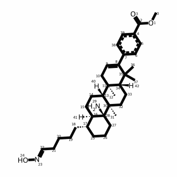 COC(=O)c1ccc(C2=CC[C@]3(C)[C@H]4CC[C@@H]5[C@@H](CCCC/C=N/O)CCC[C@@]5(N)[C@]4(C)CC[C@H]3C2(C)C)cc1